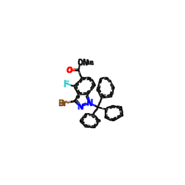 COC(=O)c1ccc2c(c(Br)nn2C(c2ccccc2)(c2ccccc2)c2ccccc2)c1F